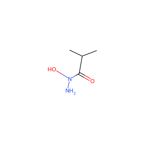 CC(C)C(=O)N(N)O